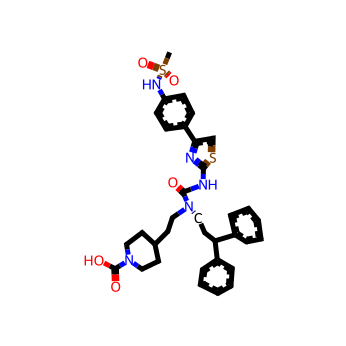 CS(=O)(=O)Nc1ccc(-c2csc(NC(=O)N(CCC3CCN(C(=O)O)CC3)CCC(c3ccccc3)c3ccccc3)n2)cc1